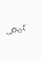 CN(C1CC1)[C@@H]1CCN(c2cnnc([AsH2])c2)C1